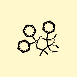 COC1(c2ccccc2)O[Si](c2ccccc2)(c2ccccc2)CC(C)(C)C1(OC)OC